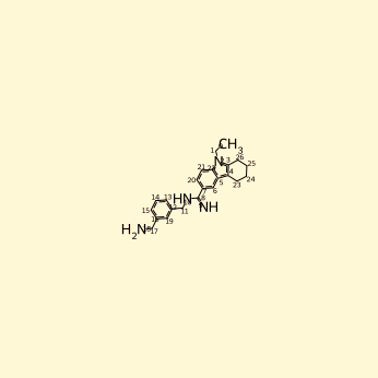 CCn1c2c(c3cc(C(=N)NCc4cccc(CN)c4)ccc31)CCCC2